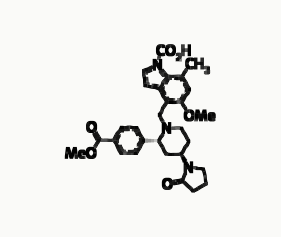 COC(=O)c1ccc([C@H]2C[C@H](N3CCCC3=O)CCN2Cc2c(OC)cc(C)c3c2ccn3C(=O)O)cc1